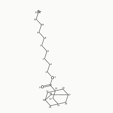 O=C(OCCCCCCCCCBr)C12CC3CC(CC(C3)C1)C2